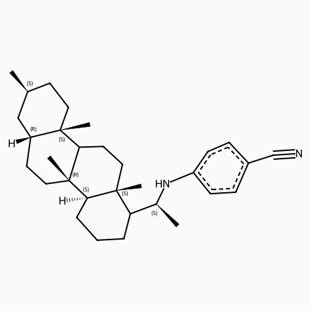 C[C@H]1CC[C@]2(C)C3CC[C@]4(C)C([C@H](C)Nc5ccc(C#N)cc5)CCC[C@H]4[C@]3(C)CC[C@@H]2C1